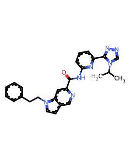 CC(C)n1cnnc1-c1cccc(NC(=O)c2cc3c(ccn3CCc3ccccc3)cn2)n1